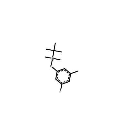 Cc1cc(F)cc(O[Si](C)(C)C(C)(C)C)c1